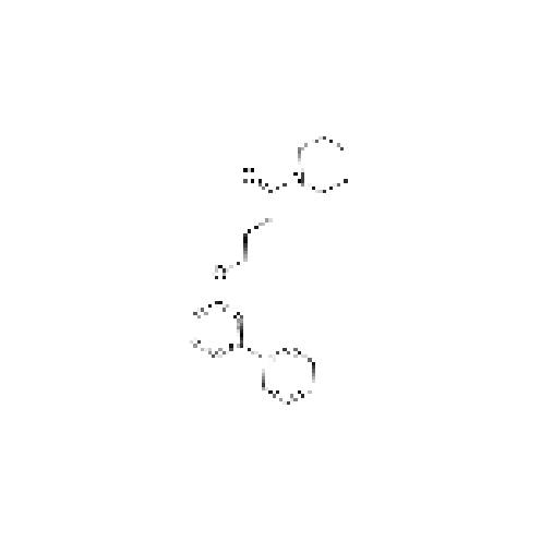 O=C(CCCOc1cccc(-c2[c]cccc2)c1)N1CCCCC1